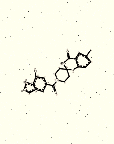 Cc1ccc2c(c1)C(=O)NC1(CCN(C(=O)c3cc(Cl)c4[nH]ncc4c3)CC1)O2